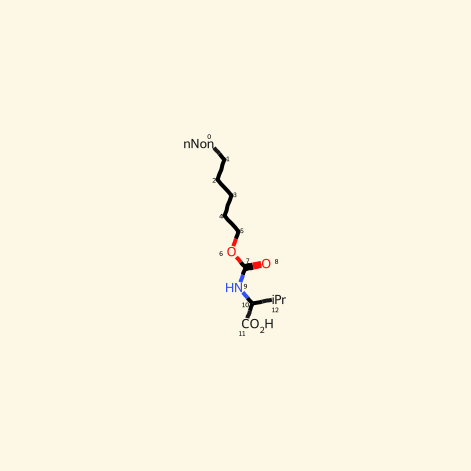 CCCCCCCCCCCCCCOC(=O)NC(C(=O)O)C(C)C